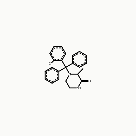 CC1C(=O)NCCN1C(c1ccccc1)(c1ccccc1)c1ccccc1Cl